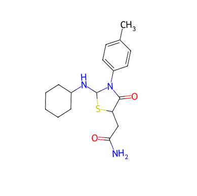 Cc1ccc(N2C(=O)C(CC(N)=O)SC2NC2CCCCC2)cc1